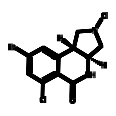 CCc1cc(Cl)c2c(c1)[C@@H]1CN(Cl)C[C@H]1NC2=O